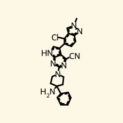 Cn1cc2c(Cl)c(-c3c[nH]c4nc(N5CCC(N)(c6ccccc6)CC5)nc(C#N)c34)ccc2n1